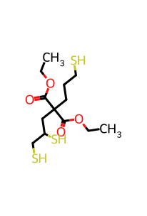 CCOC(=O)C(CCCS)(CC(S)CS)C(=O)OCC